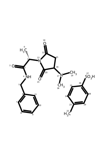 C[C@@H](C(=O)NCc1ccccc1)N1C(=O)CC(N(C)C)C1=O.Cc1ccc(S(=O)(=O)O)cc1